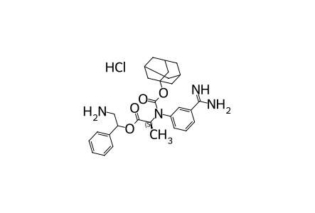 C[C@@H](C(=O)OC(CN)c1ccccc1)N(C(=O)OC12CC3CC(CC(C3)C1)C2)c1cccc(C(=N)N)c1.Cl